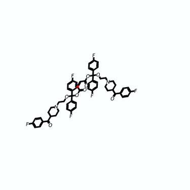 O=C(/C=C\C(=O)OC(OCCN1CCC(C(=O)c2ccc(F)cc2)CC1)(c1ccc(F)cc1)c1ccc(F)cc1)OC(OCCN1CCC(C(=O)c2ccc(F)cc2)CC1)(c1ccc(F)cc1)c1ccc(F)cc1